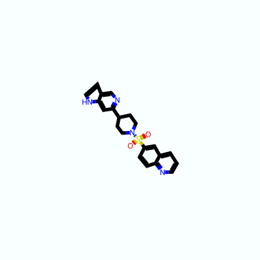 O=S(=O)(c1ccc2ncccc2c1)N1CCC(c2cc3[nH]ccc3cn2)CC1